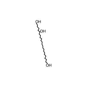 OCCCCCCCCCCCCCCCCCCC(O)CCCCCO